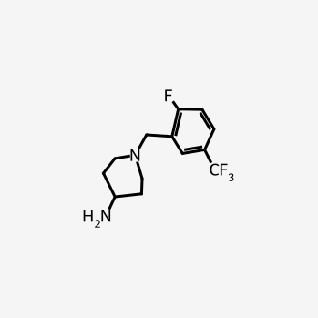 NC1CCN(Cc2cc(C(F)(F)F)ccc2F)CC1